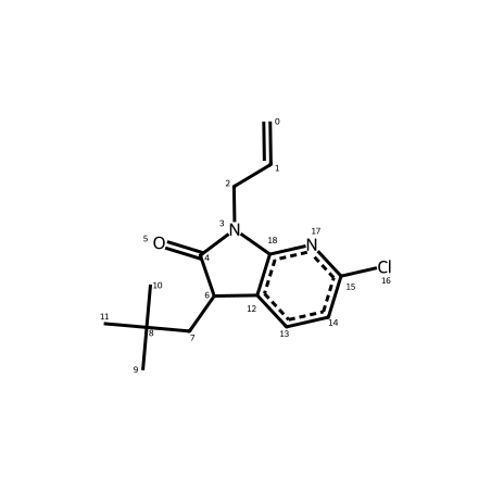 C=CCN1C(=O)C(CC(C)(C)C)c2ccc(Cl)nc21